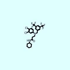 O=C(CCN(Cc1cc(C(F)(F)F)cc(C(F)(F)F)c1)c1ccc(Cl)c(Cl)c1)NC1CCCCC1